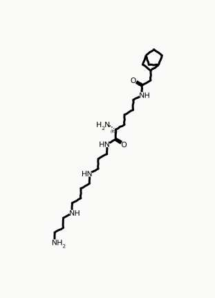 NCCCNCCCCNCCCNC(=O)[C@H](N)CCCCNC(=O)CC1CC2CCC1C2